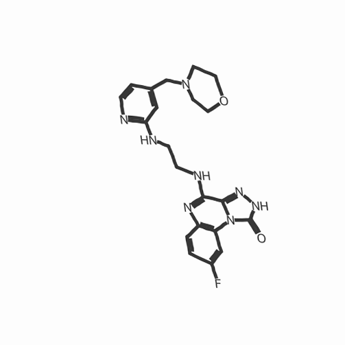 O=c1[nH]nc2c(NCCNc3cc(CN4CCOCC4)ccn3)nc3ccc(F)cc3n12